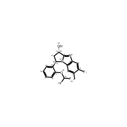 Cc1cc2c(cc1F)nc1n2[C@@H](c2ccccc2OC(F)F)C[C@@H]1O